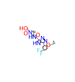 Cc1[nH]c2c(-c3cc(C(F)F)ccc3OCC3CC3)ncnc2c1C(=O)N[C@@H]1CN(C(=O)CO)C[C@@H]1C